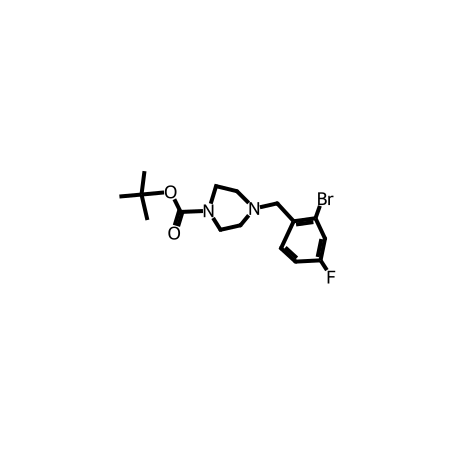 CC(C)(C)OC(=O)N1CCN(Cc2ccc(F)cc2Br)CC1